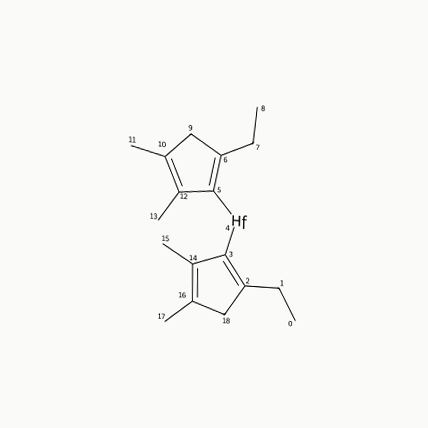 CCC1=[C]([Hf][C]2=C(CC)CC(C)=C2C)C(C)=C(C)C1